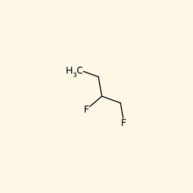 CCC(F)CF